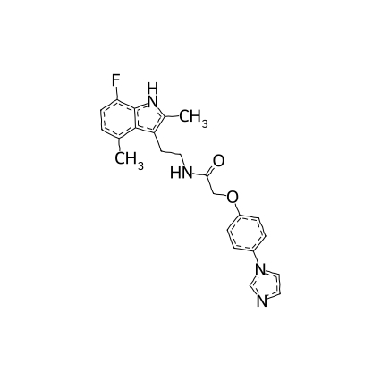 Cc1[nH]c2c(F)ccc(C)c2c1CCNC(=O)COc1ccc(-n2ccnc2)cc1